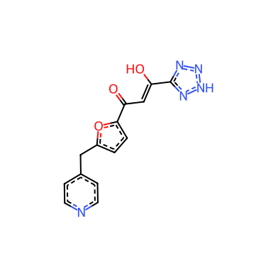 O=C(C=C(O)c1nn[nH]n1)c1ccc(Cc2ccncc2)o1